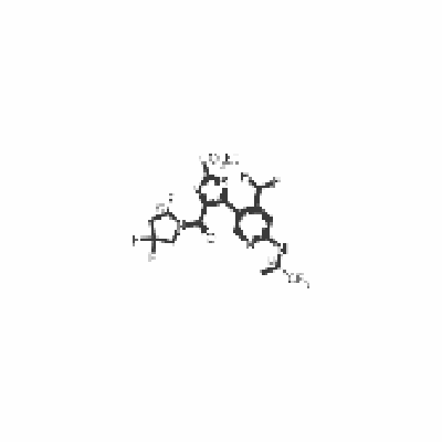 CCOC(=O)c1nc(C(=O)N2CC(F)(F)C[C@@H]2C)c(-c2cnc(N[C@@H](C)C(F)(F)F)cc2C(F)F)s1